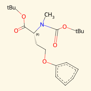 CN(C(=O)OC(C)(C)C)[C@H](CCOc1ccccc1)C(=O)OC(C)(C)C